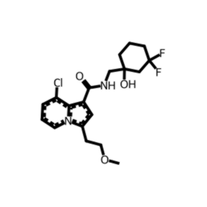 COCCc1cc(C(=O)NCC2(O)CCCC(F)(F)C2)c2c(Cl)cccn12